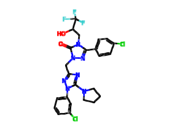 O=c1n(Cc2nc(N3CCCC3)n(-c3cccc(Cl)c3)n2)nc(-c2ccc(Cl)cc2)n1CC(O)C(F)(F)F